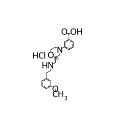 COc1cccc(CCNC[C@@H]2CN(c3cccc(C(=O)O)c3)CCO2)c1.Cl